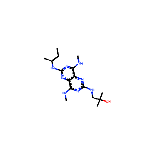 CC[C@H](C)Nc1nc(NC)c2nc(NCC(C)(C)O)nc(NC)c2n1